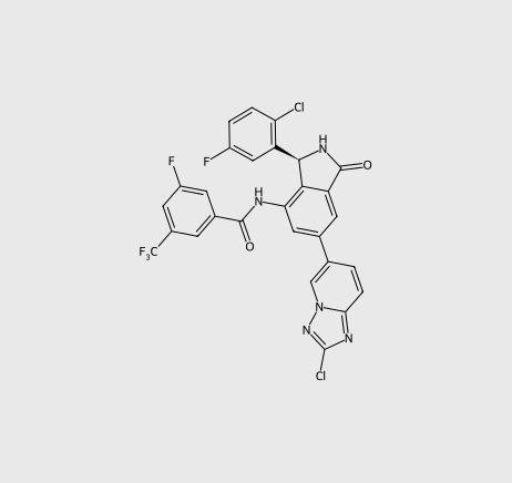 O=C(Nc1cc(-c2ccc3nc(Cl)nn3c2)cc2c1[C@@H](c1cc(F)ccc1Cl)NC2=O)c1cc(F)cc(C(F)(F)F)c1